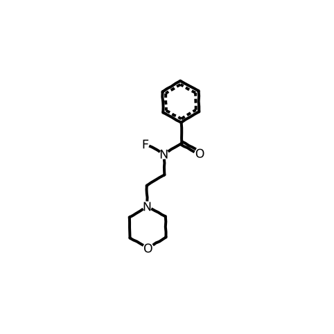 O=C(c1ccccc1)N(F)CCN1CCOCC1